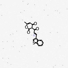 CC1=CC(=O)C(C(=O)/C=C/c2csc3ccccc23)C(=O)O1